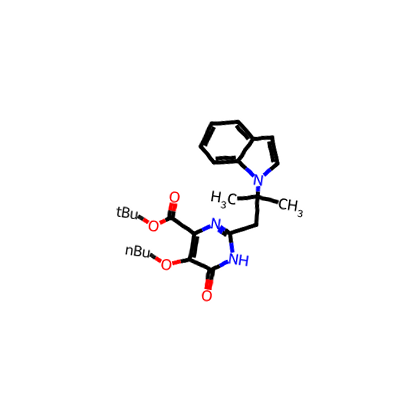 CCCCOc1c(C(=O)OC(C)(C)C)nc(CC(C)(C)n2ccc3ccccc32)[nH]c1=O